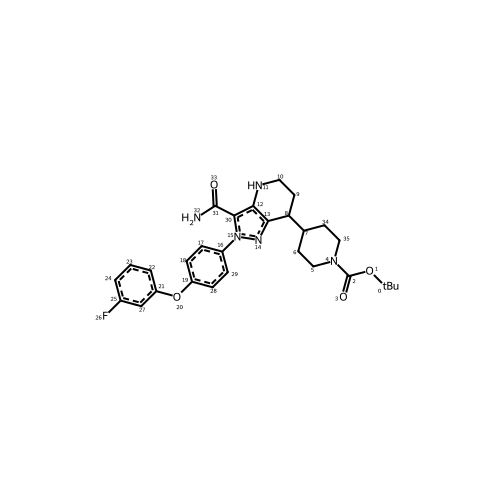 CC(C)(C)OC(=O)N1CCC(C2CCNc3c2nn(-c2ccc(Oc4cccc(F)c4)cc2)c3C(N)=O)CC1